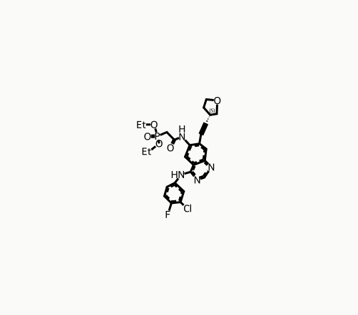 CCOP(=O)(CC(=O)Nc1cc2c(Nc3ccc(F)c(Cl)c3)ncnc2cc1C#C[C@@H]1CCOC1)OCC